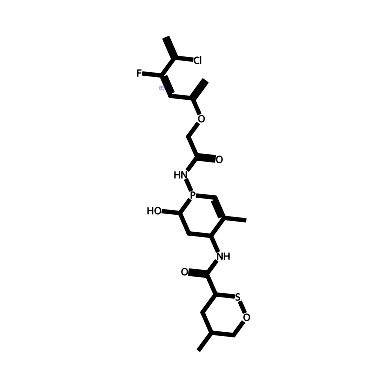 C=C(/C=C(/F)C(=C)Cl)OCC(=O)NP1C=C(C)C(NC(=O)C2CC(C)COS2)CC1O